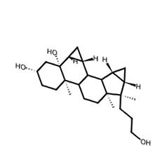 C[C@]12CCC3C(C1[C@@H]1C[C@@H]1[C@@]2(C)CCCO)[C@H]1C[C@H]1[C@]1(O)C[C@@H](O)CC[C@]31C